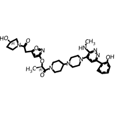 CNc1nnc(-c2ccccc2O)cc1N1CCN(C2CCN(C(=O)[C@@H](C)Oc3cc(CC(=O)N4CC[C@@H](O)C4)on3)CC2)CC1